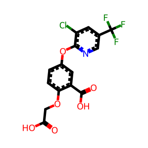 O=C(O)COc1ccc(Oc2ncc(C(F)(F)F)cc2Cl)cc1C(=O)O